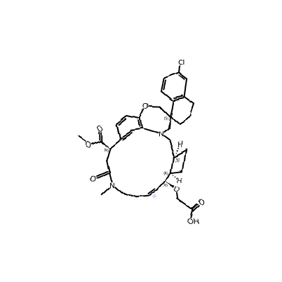 COC(=O)[C@@H]1CC(=O)N(C)CC/C=C\[C@H](OCC(=O)O)[C@@H]2CC[C@@H]2CN2C[C@@]3(CCCc4cc(Cl)ccc43)COc3ccc1cc32